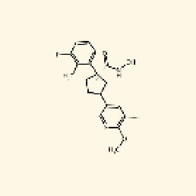 COc1ncc(C2CC[C@@](C(=O)NO)(c3cccc(F)c3C)C2)cc1F